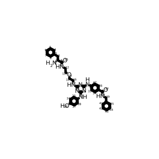 N[C@H](Cc1ccccc1)C(=O)NCCOCCNc1nc(Nc2ccc(O)cc2)nc(Nc2ccc(C(=O)NCc3ccccc3)cc2)n1